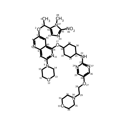 CC(Oc1cnc2cc(N3CCOCC3)nc(OC3CCC(Nc4ncc(OCCN5CCOCC5)cn4)CC3)c2c1)c1cnc([N+](=O)[O-])n1C